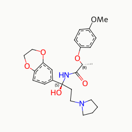 COc1ccc(O[C@H](C)C(=O)N[C@](O)(CCN2CCCC2)c2ccc3c(c2)OCCO3)cc1